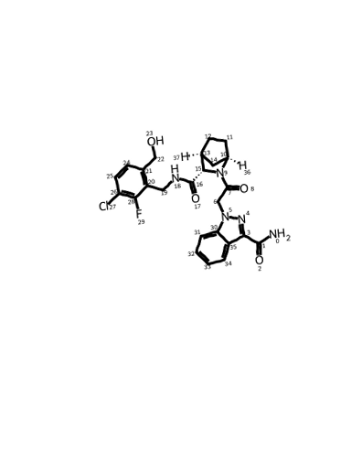 NC(=O)c1nn(CC(=O)N2[C@@H]3CC[C@@H](C3)[C@H]2C(=O)NCc2c(CO)ccc(Cl)c2F)c2ccccc12